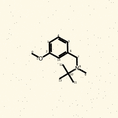 COc1cccc(CN(C)C(C)(C)C)c1